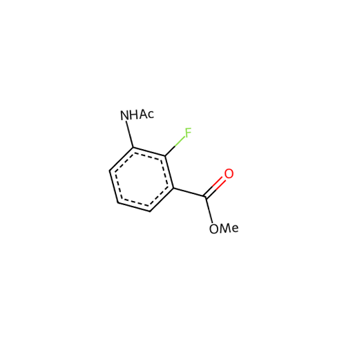 COC(=O)c1cccc(NC(C)=O)c1F